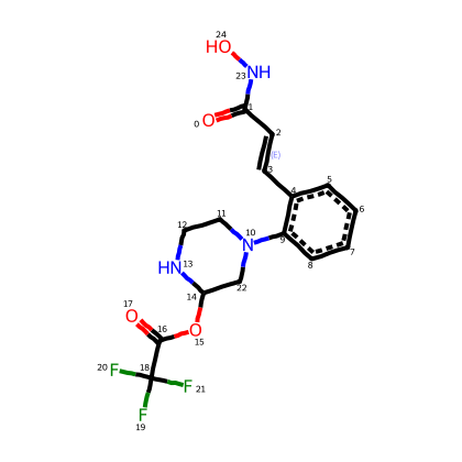 O=C(/C=C/c1ccccc1N1CCNC(OC(=O)C(F)(F)F)C1)NO